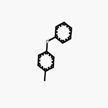 Cc1ccc(Oc2[c]cccc2)cc1